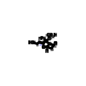 CCCC1(OC(=O)O)/C(=C/CO)O[C@@H]2CC(=O)N21